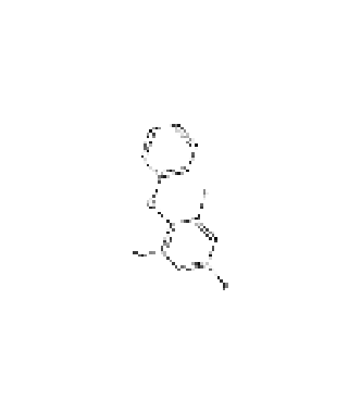 Fc1cc(F)c(Oc2cc[c]cc2)c(F)c1